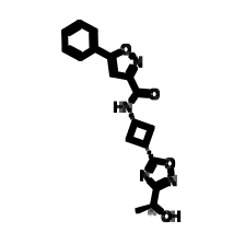 C[C@H](O)c1noc([C@H]2C[C@@H](NC(=O)c3cc(-c4ccccc4)on3)C2)n1